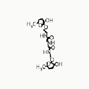 C[C@H]1CC[C@H](O)[C@H](OCCNC(=O)CNCC(=O)NCCO[C@@H]2O[C@@H](C)CC[C@@H]2O)O1